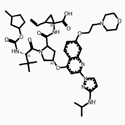 C=CC1C[C@]1(NC(=O)C1C[C@@H](Oc2cc(-n3ccc(NC(C)C)n3)nc3cc(OCCN4CCOCC4)ccc23)CN1C(=O)[C@@H](NC(=O)OC1CCC(C)C1)C(C)(C)C)C(=O)O